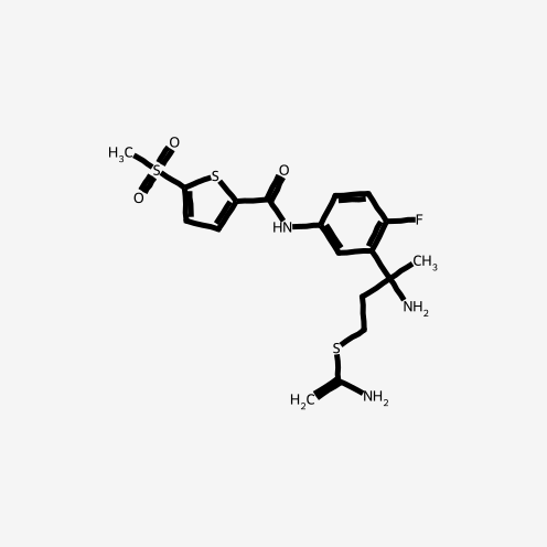 C=C(N)SCCC(C)(N)c1cc(NC(=O)c2ccc(S(C)(=O)=O)s2)ccc1F